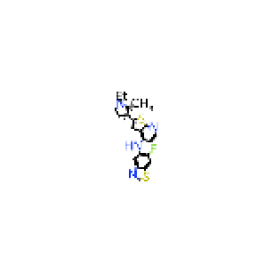 CCN1CC[C@@H](c2cc3c(Nc4cc5ncsc5cc4F)ccnc3s2)[C@H]1C